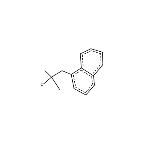 CC(C)(F)Cc1cccc2ccccc12